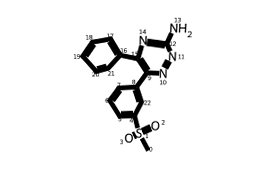 CS(=O)(=O)c1cccc(-c2nnc(N)nc2-c2ccccc2)c1